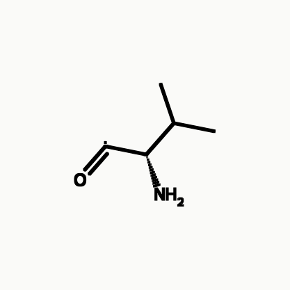 CC(C)[C@H](N)[C]=O